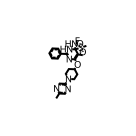 CC1=C(OC2CCN(c3cnc(C)cn3)CC2)N=C(c2ccccc2)NC1(NF)S(C)(=O)=O